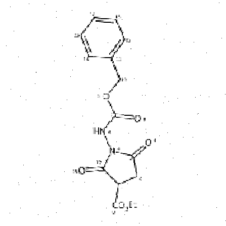 CCOC(=O)C1CC(=O)N(NC(=O)OCc2ccccc2)C1=O